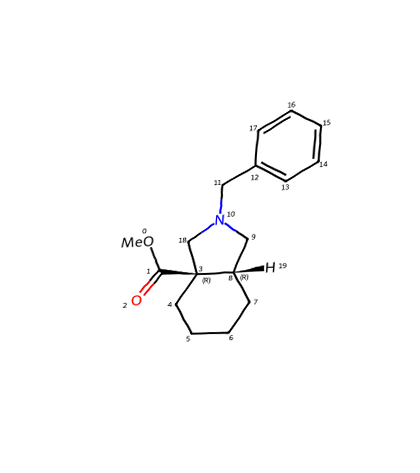 COC(=O)[C@]12CCCC[C@H]1CN(Cc1ccccc1)C2